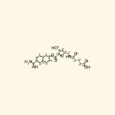 Cl.N=C(N)c1ccc2cc(OC(=O)c3ccc(CNC(=O)CCCC(=O)O)o3)ccc2c1